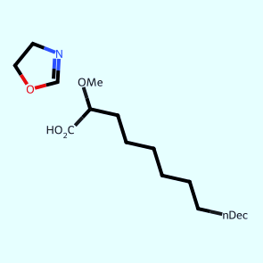 C1=NCCO1.CCCCCCCCCCCCCCCCC(OC)C(=O)O